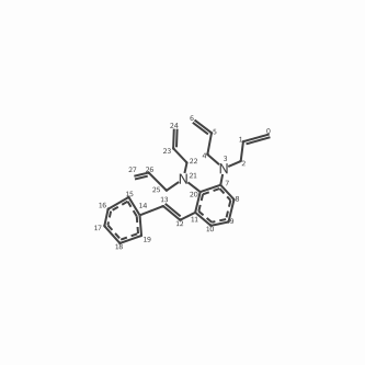 C=CCN(CC=C)c1cccc(C=Cc2ccccc2)c1N(CC=C)CC=C